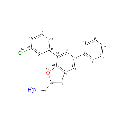 NCC1Cc2cc(-c3ccccc3)cc(-c3cccc(Cl)c3)c2O1